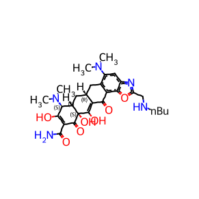 CCCCNCc1nc2cc(N(C)C)c3c(c2o1)C(=O)C1=C(O)[C@]2(O)C(=O)C(C(N)=O)=C(O)[C@@H](N(C)C)[C@@H]2C[C@@H]1C3